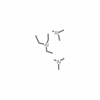 C[CH2][Al]([CH2]C)[CH2]C.[CH3][Al]([CH3])[CH3].[CH3][Al]([CH3])[CH3]